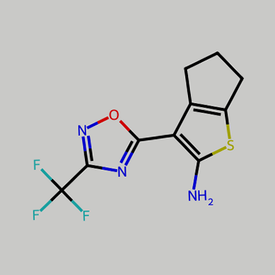 Nc1sc2c(c1-c1nc(C(F)(F)F)no1)CCC2